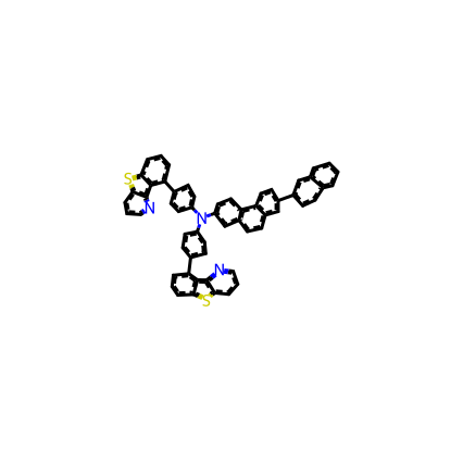 c1ccc2cc(-c3ccc4c(ccc5cc(N(c6ccc(-c7cccc8sc9cccnc9c78)cc6)c6ccc(-c7cccc8sc9cccnc9c78)cc6)ccc54)c3)ccc2c1